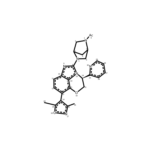 CC(=O)N1CC2CC1CN2c1nc2ccc(-c3c(C)noc3C)c3c2n1[C@@H](c1ccccn1)CO3